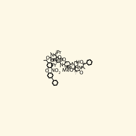 CC[C@H](C)C([C@@H](CC(=O)N1CCC[C@H]1[C@H](OC)[C@@H](C)C(=O)N[C@H](C)[C@@H](O)c1ccccc1)OC)N(C)C(=O)[C@@H](NC(=O)[C@H](C(C)C)N(C)C(=O)OC(C)c1ccc([N+](=O)[O-])c(Oc2ccc(-c3ccccc3)cc2)c1)C(C)C